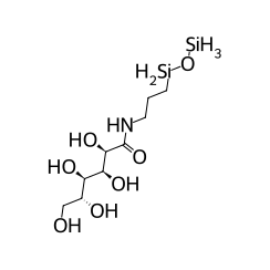 O=C(NCCC[SiH2]O[SiH3])[C@H](O)[C@@H](O)[C@H](O)[C@H](O)CO